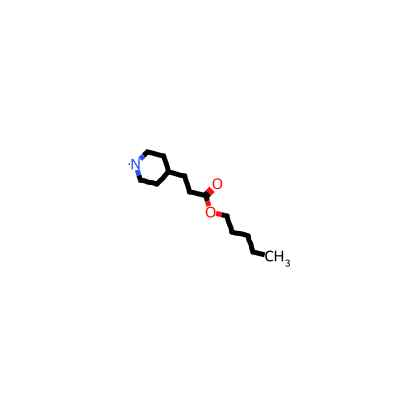 CCCCCOC(=O)CCC1CC[N]CC1